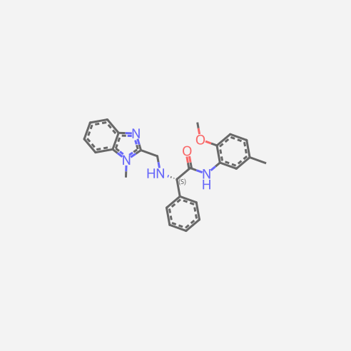 COc1ccc(C)cc1NC(=O)[C@@H](NCc1nc2ccccc2n1C)c1ccccc1